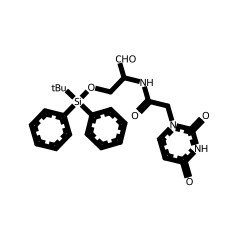 CC(C)(C)[Si](OCC(C=O)NC(=O)Cn1ccc(=O)[nH]c1=O)(c1ccccc1)c1ccccc1